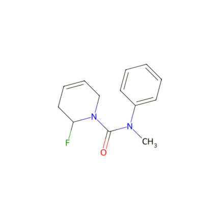 CN(C(=O)N1CC=CCC1F)c1ccccc1